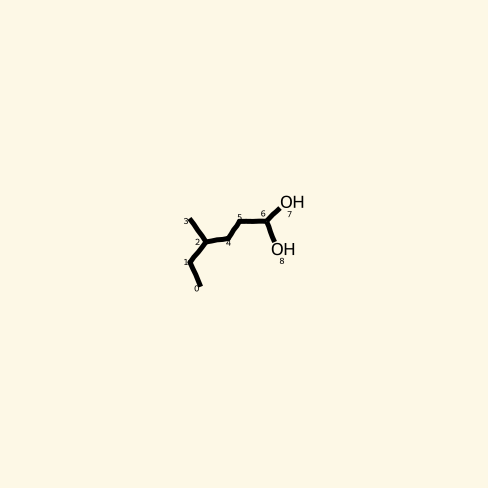 CCC(C)CCC(O)O